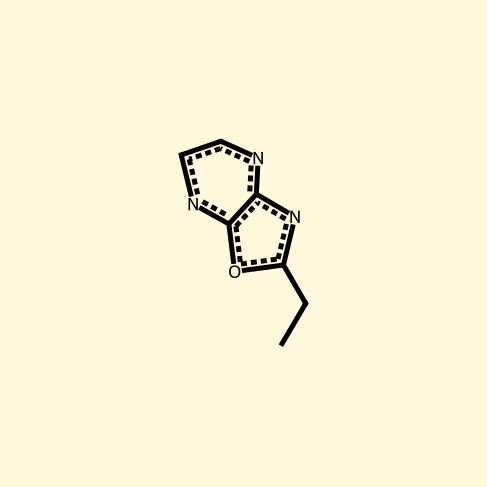 CCc1nc2nccnc2o1